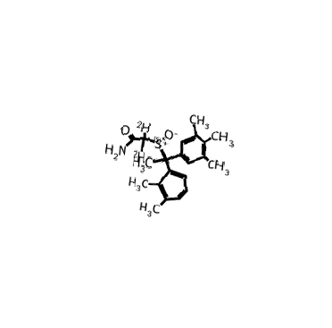 [2H]C([2H])(C(N)=O)[S@@+]([O-])C(C)(c1cc(C)c(C)c(C)c1)c1cccc(C)c1C